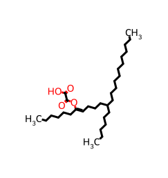 CCCCCCCCCCCCC(CCCC=C(CCCCCC)OC(=O)C(=O)O)CCCCCC